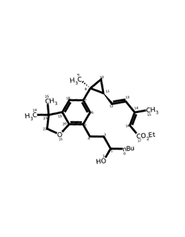 CCCCC(O)CCc1cc([C@@]2(C)C[C@H]2C=CC(C)=CC(=O)OCC)cc2c1OCC2(C)C